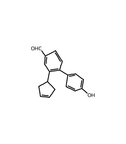 O=Cc1ccc(-c2ccc(O)cc2)c(C2CC=CC2)c1